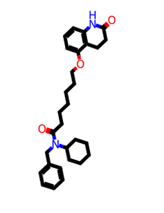 O=C1CCc2c(cccc2OCCCCCCC(=O)N(Cc2ccccc2)C2CCCCC2)N1